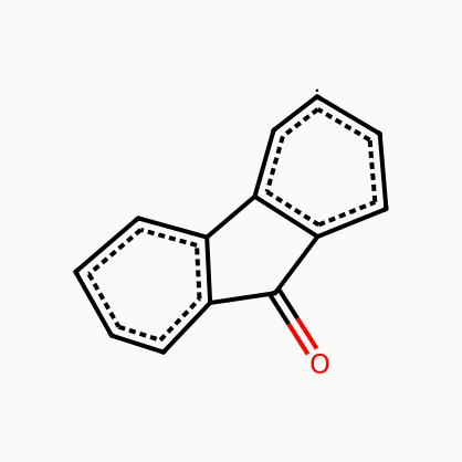 O=C1c2cc[c]cc2-c2ccccc21